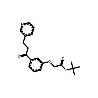 CC(C)(C)OC(=O)COc1cccc(C(=O)CCc2cccnc2)c1